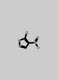 O=[N+]([O-])C1=C(Cl)[N]N=C1